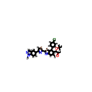 CC(=O)[C@@H](OC(C)(C)C)c1c(C)cc2nc(-c3nc(-c4ccc5c(cnn5C)c4)cs3)sc2c1-c1ccc(Cl)cc1